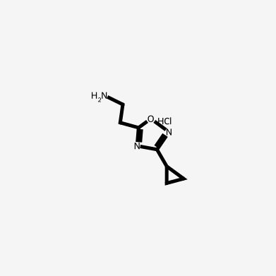 Cl.NCCc1nc(C2CC2)no1